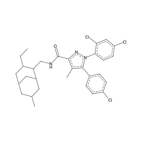 CCC1CC2CC(C)CC(C2)C1CNC(=O)c1nn(-c2ccc(Cl)cc2Cl)c(-c2ccc(Cl)cc2)c1C